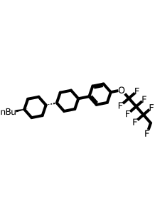 CCCC[C@H]1CC[C@H](C2CCC(C3=CCC(OC(F)(F)C(F)(F)C(F)(F)CF)C=C3)CC2)CC1